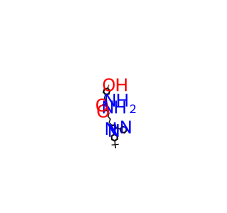 CC(C)(C)c1ccc(-n2nc(CCCCC(=O)NC(=O)[C@@H](N)Cc3ccc(O)cc3)cc2-c2cccnc2)cc1